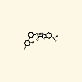 O=C(Nc1cccc(-c2ccc(F)cc2F)c1)c1nc2cc([N+](=O)[O-])ccc2[nH]1